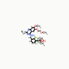 COCCOc1cc2c(NCc3cccc(C(F)(F)C(C)(C)O)c3F)nc(C)nc2cc1OC